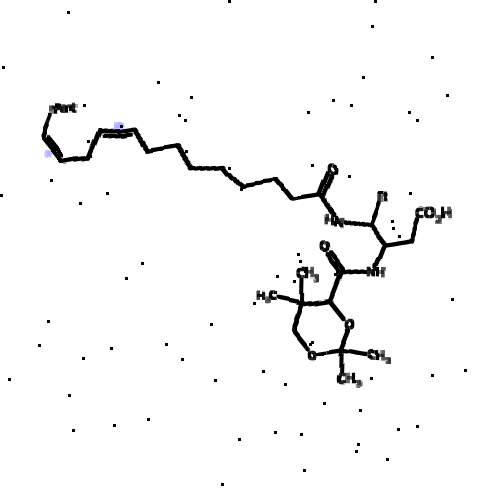 CCCCC/C=C\C/C=C\CCCCCCCC(=O)NC(CC)C(CC(=O)O)NC(=O)C1OC(C)(C)OCC1(C)C